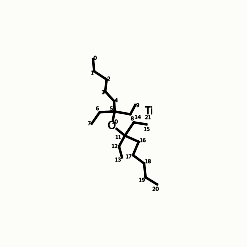 CCCCCC(CC)(CC)OC(CC)(CC)CCCCC.[Ti]